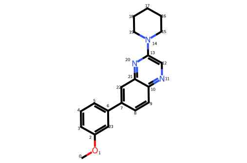 COc1cccc(-c2ccc3ncc(N4CCCCC4)nc3c2)c1